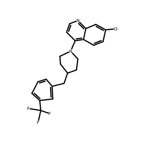 [O]c1ccc2c(N3CCC(Cc4cccc(C(F)(F)F)c4)CC3)ccnc2c1